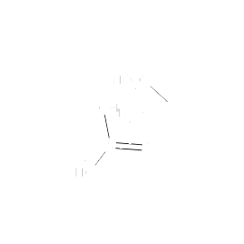 CC(=O)O.O.O=S(O)O